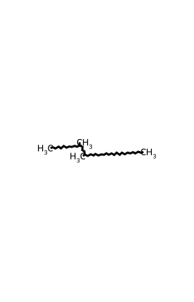 CCCCCCCCCCCCCCCCCCCCCCC(C)CCCC(C)CCCCCCCCCCC